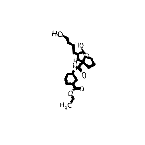 CCOC(=O)C1CCCC(NC(=O)C2(CC(CCCCO)C(=O)O)CCCC2)C1